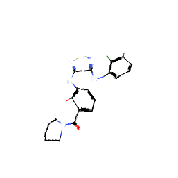 O=C(c1cccc(Nc2nsnc2Nc2cccc(Cl)c2Cl)c1O)N1CCCC1